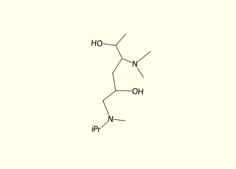 CC(O)C(CC(O)CN(C)C(C)C)N(C)C